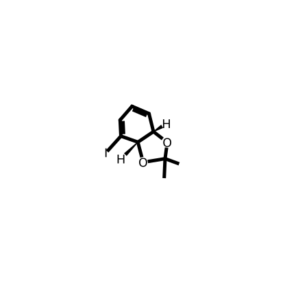 CC1(C)O[C@H]2C=CC=C(I)[C@H]2O1